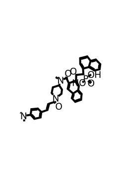 CN(C)c1ccc(/C=C/C(=O)N2CCC(N(C)C(=O)c3cc4ccccc4cc3C(=O)C(c3cccc4ccccc34)P(=O)(O)O)CC2)cc1